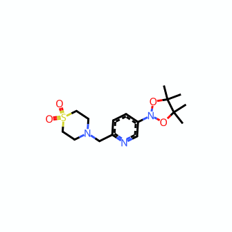 CC1(C)ON(c2ccc(CN3CCS(=O)(=O)CC3)nc2)OC1(C)C